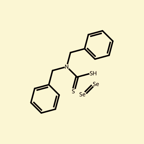 S=C(S)N(Cc1ccccc1)Cc1ccccc1.[Se]=[Se]